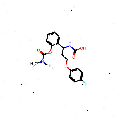 CN(C)C(=O)Oc1ccccc1C(CCOc1ccc(F)cc1)NC(=O)O